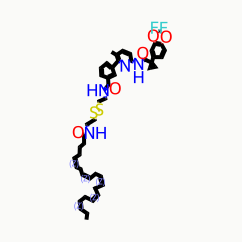 CC/C=C\C/C=C\C/C=C\C/C=C\C/C=C\CCCC(=O)NCCSSCCNC(=O)c1cccc(-c2nc(NC(=O)C3(c4ccc5c(c4)OC(F)(F)O5)CC3)ccc2C)c1